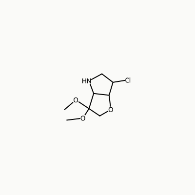 COC1(OC)COC2C(Cl)CNC21